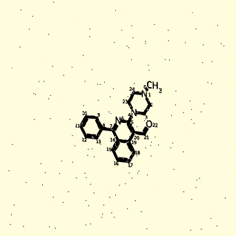 CN1CCN(c2nc(-c3ccccc3)c3ccccc3c2C=O)CC1